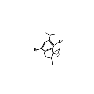 CC(C)c1cc(Br)c2c(c1Br)C1(CO1)C(C)C2